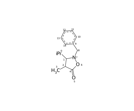 CC(C)C1C(C)C(=O)ON1Cc1ccccc1